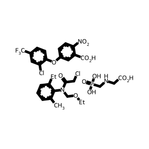 CCOCN(C(=O)CCl)c1c(C)cccc1CC.O=C(O)CNCP(=O)(O)O.O=C(O)c1cc(Oc2ccc(C(F)(F)F)cc2Cl)ccc1[N+](=O)[O-]